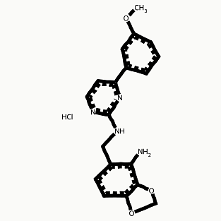 COc1cccc(-c2ccnc(NCc3ccc4c(c3N)OCO4)n2)c1.Cl